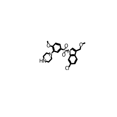 COCc1cn(S(=O)(=O)c2ccc(OC)c(N3CCNCC3)c2)c2cc(Cl)ccc12